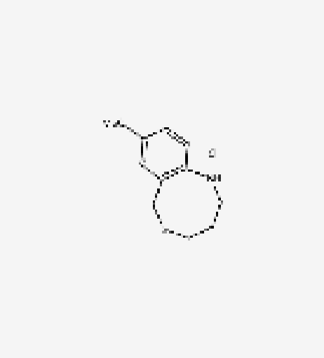 COc1ccc2c(c1)CSCCCN2.Cl